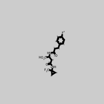 O=C(CCc1ccc(F)cc1)NC(CC(=O)NC1(C(F)(F)F)CC1)C(=O)O